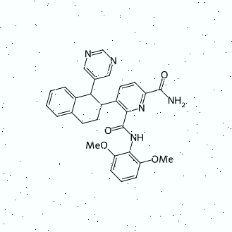 COc1cccc(OC)c1NC(=O)c1nc(C(N)=O)ccc1C1CCc2ccccc2C1c1cncnc1